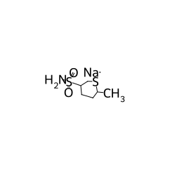 CC1CCC(S(N)(=O)=O)CS1.[Na]